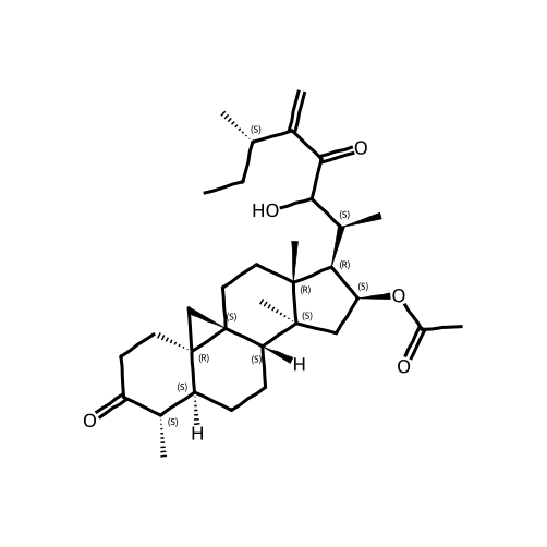 C=C(C(=O)C(O)[C@@H](C)[C@H]1[C@@H](OC(C)=O)C[C@@]2(C)[C@@H]3CC[C@H]4[C@H](C)C(=O)CC[C@@]45C[C@@]35CC[C@]12C)[C@@H](C)CC